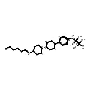 CCCCCCC[C@H]1CC[C@H](C2CCC(c3ccc(OC(F)(F)C(F)(F)F)cc3)CC2)CC1